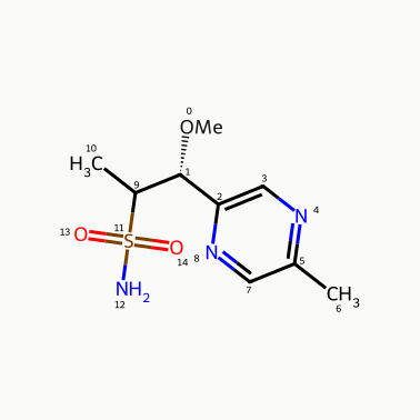 CO[C@H](c1cnc(C)cn1)C(C)S(N)(=O)=O